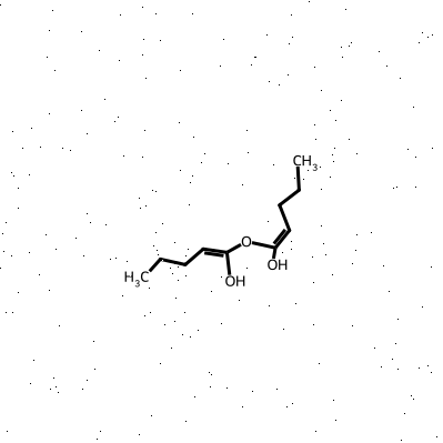 CCCC=C(O)OC(O)=CCCC